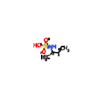 CC[C@H](C)NS(=O)(=O)O